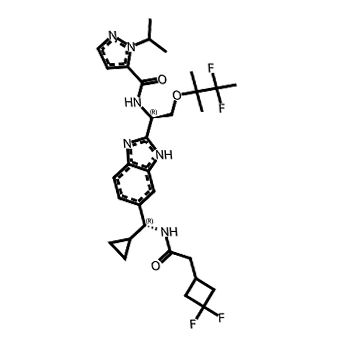 CC(C)n1nccc1C(=O)N[C@@H](COC(C)(C)C(C)(F)F)c1nc2ccc([C@H](NC(=O)CC3CC(F)(F)C3)C3CC3)cc2[nH]1